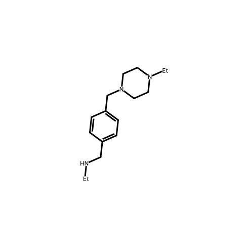 CCNCc1ccc(CN2CCN(CC)CC2)cc1